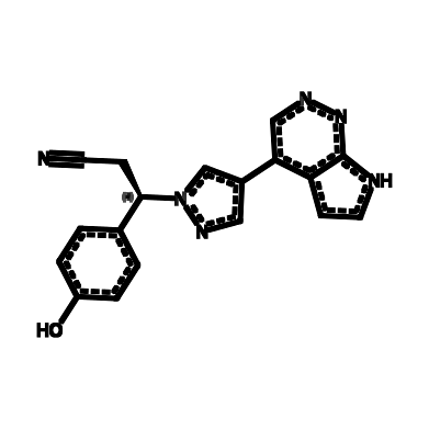 N#CC[C@H](c1ccc(O)cc1)n1cc(-c2cnnc3[nH]ccc23)cn1